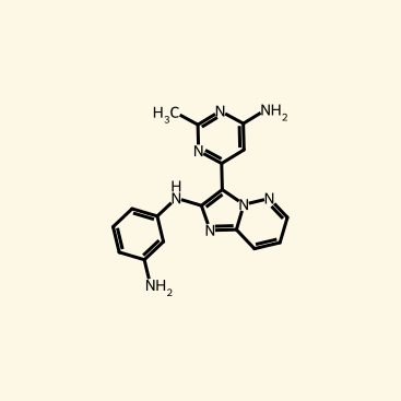 Cc1nc(N)cc(-c2c(Nc3cccc(N)c3)nc3cccnn23)n1